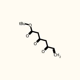 C=CC(=O)CC(=O)CC(=O)OC(C)(C)C